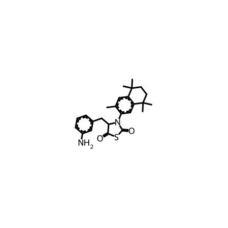 Cc1cc2c(cc1N1C(=O)SC(=O)C1Cc1cccc(N)c1)C(C)(C)CCC2(C)C